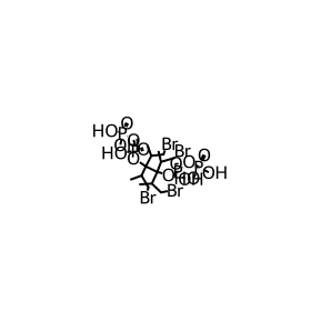 CC(CBr)C(OP(=O)(O)OP(=O)(O)O)(C(C)CBr)C(OP(=O)(O)OP(=O)(O)O)(C(C)CBr)C(C)CBr